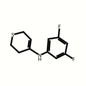 Fc1cc(F)cc(NC2=CCSCC2)c1